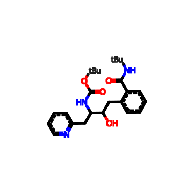 CC(C)(C)NC(=O)c1ccccc1CC(O)C(Cc1ccccn1)NC(=O)OC(C)(C)C